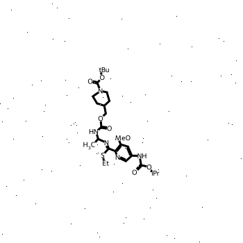 CCS/C(=N\C(C)NC(=O)OCC1CCN(C(=O)OC(C)(C)C)CC1)c1ncc(NC(=O)OC(C)C)cc1OC